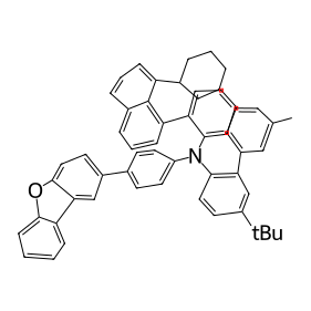 Cc1cccc(-c2cc(C(C)(C)C)ccc2N(c2ccc(-c3ccc4oc5ccccc5c4c3)cc2)c2ccccc2-c2cccc3cccc(C4CCCCC4)c23)c1